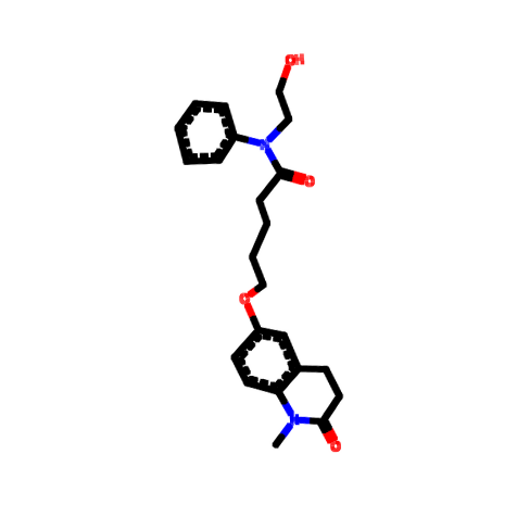 CN1C(=O)CCc2cc(OCCCCC(=O)N(CCO)c3ccccc3)ccc21